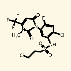 Cn1c(C(F)(F)F)cc(=O)n(-c2cc(NS(=O)(=O)CCCCl)c(Cl)cc2F)c1=O